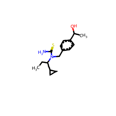 CCC(C1CC1)N(Cc1ccc(C(C)O)cc1)C(N)=S